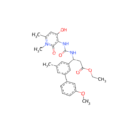 CCOC(=O)CC(NC(=O)Nc1c(O)cc(C)n(C)c1=O)c1cc(C)cc(-c2cccc(OC)c2)c1